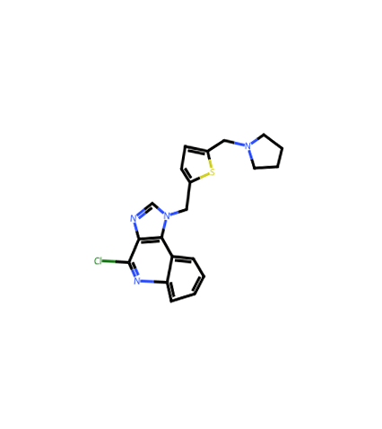 Clc1nc2ccccc2c2c1ncn2Cc1ccc(CN2CCCC2)s1